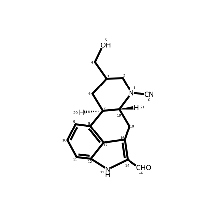 N#CN1CC(CO)C[C@@H]2c3cccc4[nH]c(C=O)c(c34)C[C@H]21